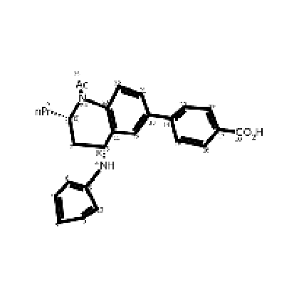 CCC[C@H]1C[C@@H](Nc2ccccc2)c2cc(-c3ccc(C(=O)O)cc3)ccc2N1C(C)=O